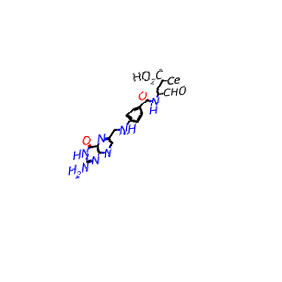 Nc1nc2ncc(CNc3ccc(C(=O)N[C@H](C=O)C[CH]([Ce])C(=O)O)cc3)nc2c(=O)[nH]1